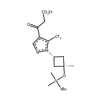 CCOC(=O)CC(=O)c1cnn([C@H]2C[C@](C)(O[Si](C)(C)C(C)(C)C)C2)c1C(F)(F)F